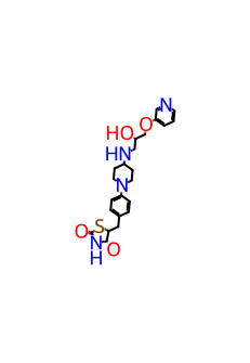 O=C1NC(=O)C(Cc2ccc(N3CCC(NC[C@H](O)COc4cccnc4)CC3)cc2)S1